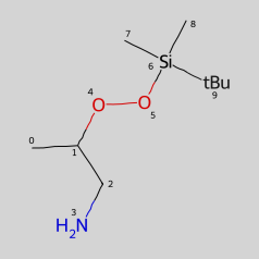 CC(CN)OO[Si](C)(C)C(C)(C)C